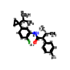 CCc1ccc([C@@H](C(=O)Nc2cc(C3(C(C)C(=O)O)CC3)ccc2F)[C@@H](C)C(F)(F)F)cc1